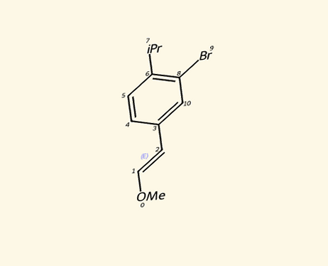 CO/C=C/c1ccc(C(C)C)c(Br)c1